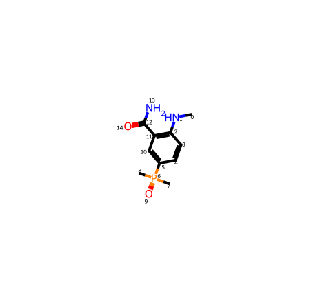 CNc1ccc(P(C)(C)=O)cc1C(N)=O